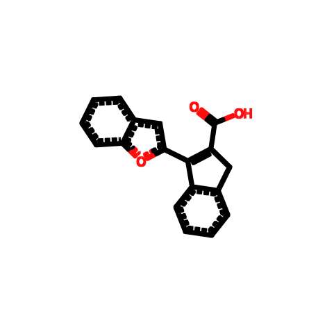 O=C(O)C1=C(c2cc3ccccc3o2)c2ccccc2C1